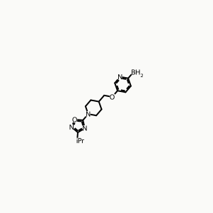 Bc1ccc(OCC2CCN(c3nc(C(C)C)no3)CC2)cn1